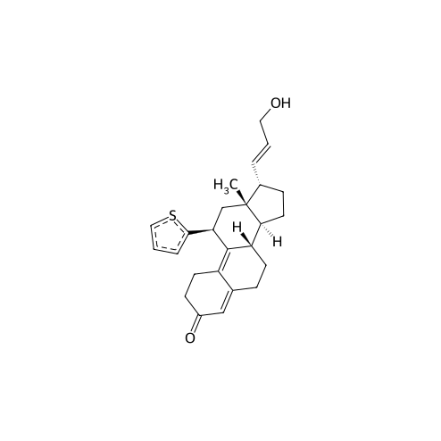 C[C@]12C[C@H](c3cccs3)C3=C4CCC(=O)C=C4CC[C@H]3[C@@H]1CC[C@H]2C=CCO